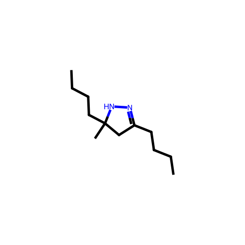 CCCCC1=NNC(C)(CCCC)C1